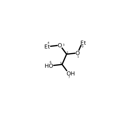 CCOC(OCC)C(O)O